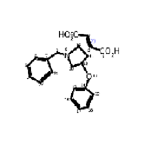 O=C(O)/C=C/C(=O)O.c1ccc(CN2CCC(Oc3ccccc3)C2)cc1